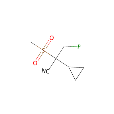 CS(=O)(=O)C(C#N)(CF)C1CC1